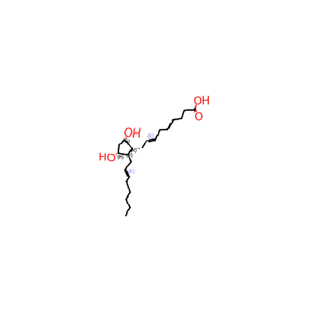 CCCCC/C=C/C[C@@H]1[C@@H](C/C=C/CCCCCC(=O)O)[C@@H](O)C[C@H]1O